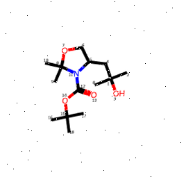 CC(C)(O)CC1COC(C)(C)N1C(=O)OC(C)(C)C